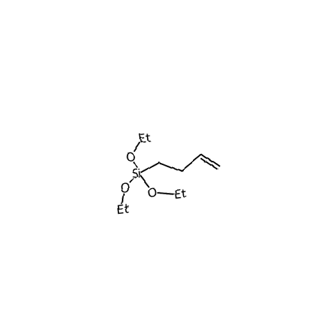 C=CCC[Si](OCC)(OCC)OCC